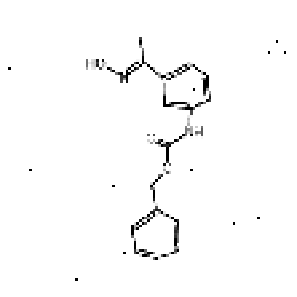 CC(=NO)c1cccc(NC(=O)OCc2ccccc2)c1